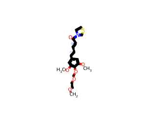 COCCOCOc1c(OC)cc(/C=C/C=C/C(=O)N2CCSC2)cc1OC